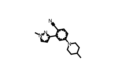 CC1CCN(c2ccc(C#N)c(-c3ccn(C)n3)c2)CC1